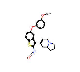 CCCOc1cccc(Oc2ccc3sc(N=C=O)c(C4=CCN5CCCC5C4)c3c2)c1